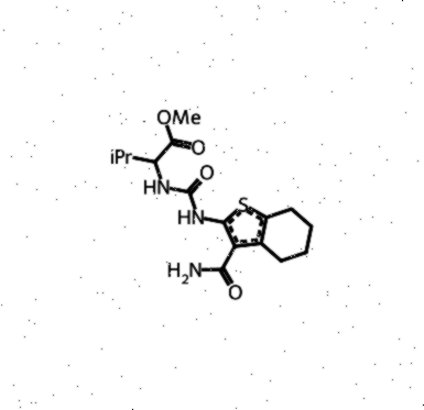 COC(=O)C(NC(=O)Nc1sc2c(c1C(N)=O)CCCC2)C(C)C